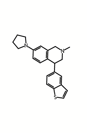 CN1Cc2cc(N3CCCC3)ccc2C(c2ccc3sccc3c2)C1